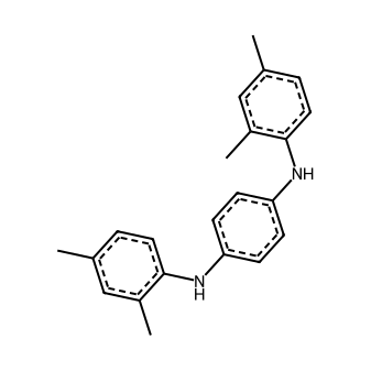 Cc1ccc(Nc2ccc(Nc3ccc(C)cc3C)cc2)c(C)c1